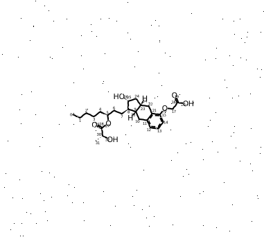 CCCCC[C@@H](CC[C@@H]1[C@H]2Cc3cccc(OCC(=O)O)c3C[C@H]2C[C@H]1O)OC(=O)[C@@H](C)O